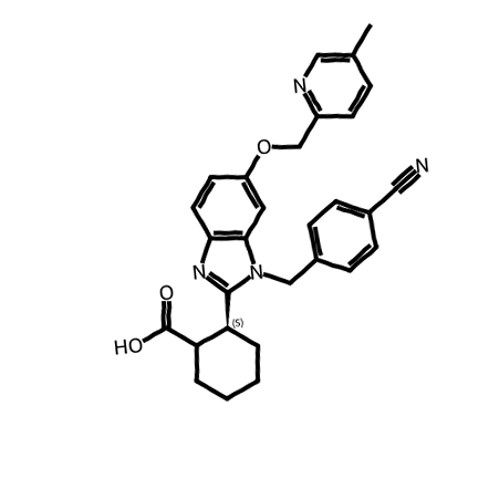 Cc1ccc(COc2ccc3nc([C@H]4CCCCC4C(=O)O)n(Cc4ccc(C#N)cc4)c3c2)nc1